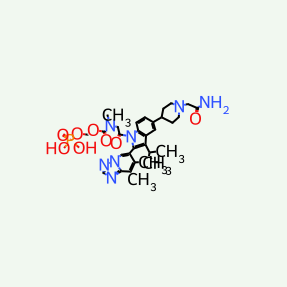 Cc1c(-c2c(C(C)C)c3cc(C4CCN(CC(N)=O)CC4)ccc3n2C(=O)CN(C)C(=O)OCOP(=O)(O)O)cn2ncnc2c1C